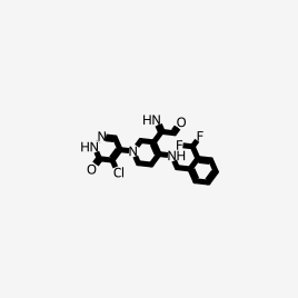 N=C(C=O)C1=C(NCc2ccccc2C(F)F)CCN(c2cn[nH]c(=O)c2Cl)C1